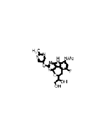 CNc1cc(F)c2c3c1[nH]c1nc(Oc4cnc(C)nc4)nc(c13)OC(C(O)CO)C2